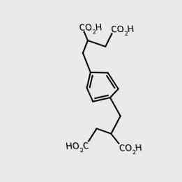 O=C(O)CC(Cc1ccc(CC(CC(=O)O)C(=O)O)cc1)C(=O)O